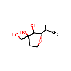 B[C@H](C)[C@H]1OCCC(O)(CO)C1O